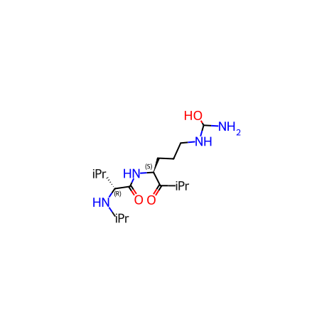 CC(C)N[C@@H](C(=O)N[C@@H](CCCNC(N)O)C(=O)C(C)C)C(C)C